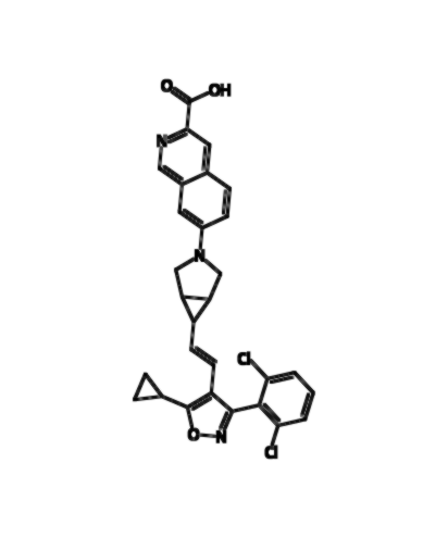 O=C(O)c1cc2ccc(N3CC4C(/C=C/c5c(-c6c(Cl)cccc6Cl)noc5C5CC5)C4C3)cc2cn1